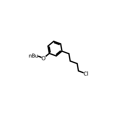 CCCCOc1cccc(CCCCCl)c1